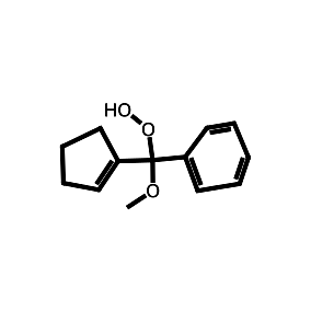 COC(OO)(C1=CCCC1)c1ccccc1